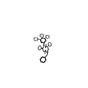 O=C1CN(Cc2ccccc2)CC(=O)N1c1cc(Cl)c(Cl)c(Cl)c1